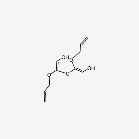 C=CCOC(=CO)OC(=CO)OCC=C